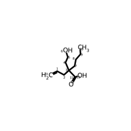 C=CCC(CCO)(CCCC)C(=O)O